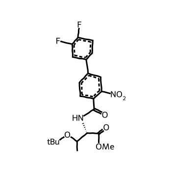 COC(=O)[C@@H](NC(=O)c1ccc(-c2ccc(F)c(F)c2)cc1[N+](=O)[O-])C(C)OC(C)(C)C